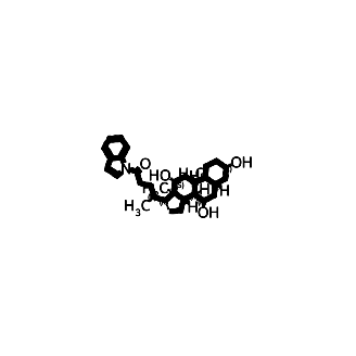 C[C@H](CCC(=O)n1ccc2ccccc21)[C@H]1CC[C@H]2[C@@H]3[C@H](O)C[C@@H]4C[C@H](O)CC[C@]4(C)[C@H]3C[C@H](O)[C@]12C